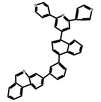 c1cc(-c2ccc3c(c2)ncc2ccccc23)cc(-c2ccc(-c3cc(-c4ccncc4)nc(-c4ccncc4)c3)c3ccccc23)c1